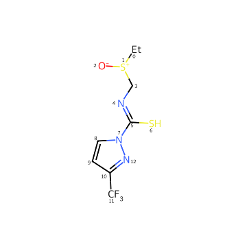 CC[S+]([O-])C/N=C(\S)n1ccc(C(F)(F)F)n1